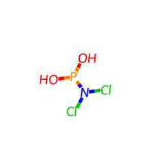 OP(O)N(Cl)Cl